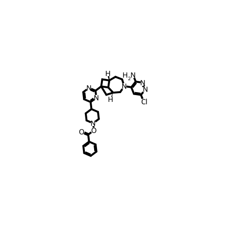 Nc1nnc(Cl)cc1N1CC[C@H]2CC3(c4nccc(C5CCN(OC(=O)c6ccccc6)CC5)n4)C[C@H](C1)C23